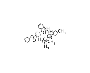 Cc1ccc(-n2nc(C(C)(C)C)cc2NC(=O)Nc2ccccc2CC2CCN(C(=O)Oc3ccccc3)CC2)cc1